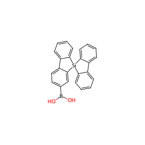 OB(O)c1ccc2c(c1)[Si]1(c3ccccc3-c3ccccc31)c1ccccc1-2